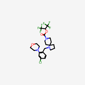 O=C(OC(C(F)(F)F)C(F)(F)F)N1CCC2(CCCN2Cc2ccc(Cl)cc2N2CCOCC2)CC1